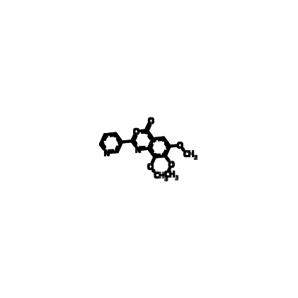 COc1cc2c(=O)oc(-c3cccnc3)nc2c(OC)c1OC